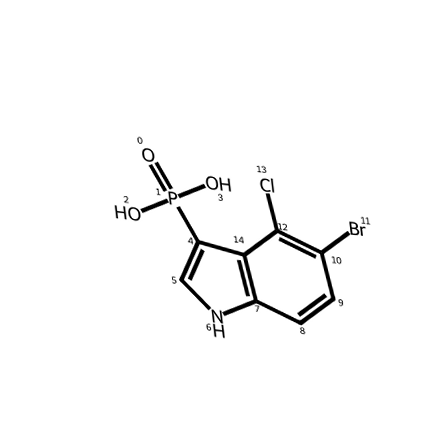 O=P(O)(O)c1c[nH]c2ccc(Br)c(Cl)c12